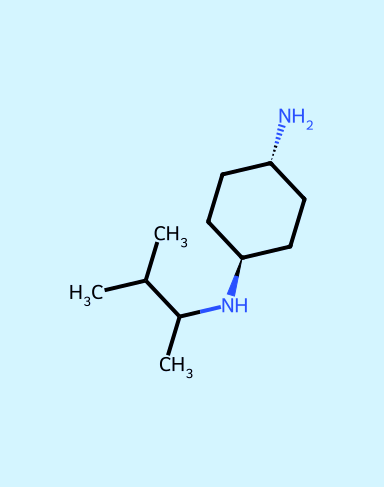 CC(C)C(C)N[C@H]1CC[C@H](N)CC1